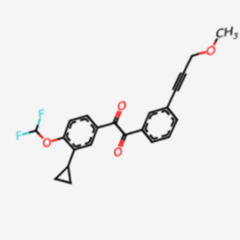 COCC#Cc1cccc(C(=O)C(=O)c2ccc(OC(F)F)c(C3CC3)c2)c1